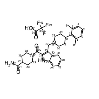 Cc1cccc(C)c1C1CCN(Cc2c(C(=O)N3CCC(C(N)=O)CC3)[nH]c3ccccc23)CC1.O=C(O)C(F)(F)F